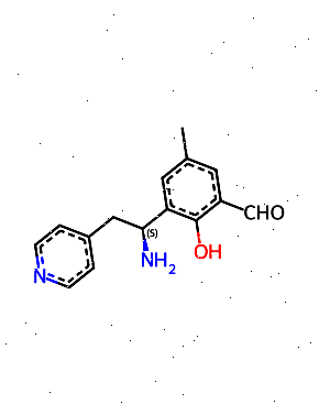 Cc1cc(C=O)c(O)c([C@@H](N)Cc2ccncc2)c1